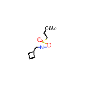 COCCS(=O)(=O)NCC1CCC1